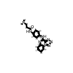 CN(C)CCC(=O)Nc1ccc(Nc2nc3ccccc3n3nnnc23)cc1